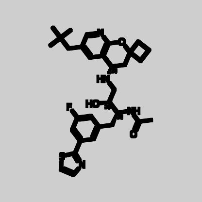 CC(=O)N[C@@H](Cc1cc(F)cc(-c2nccs2)c1)[C@@H](O)CN[C@H]1CC2(CCC2)Oc2ncc(CC(C)(C)C)cc21